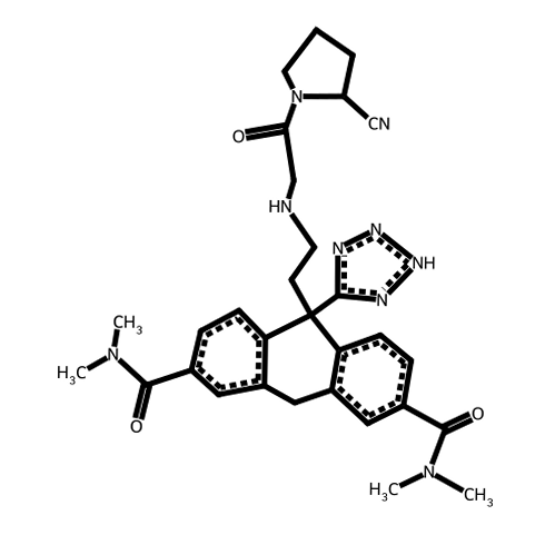 CN(C)C(=O)c1ccc2c(c1)Cc1cc(C(=O)N(C)C)ccc1C2(CCNCC(=O)N1CCCC1C#N)c1nn[nH]n1